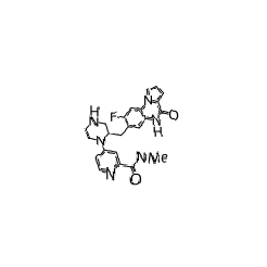 CNC(=O)c1cc(N2CCNCC2Cc2cc3[nH]c(=O)c4cccn4c3cc2F)ccn1